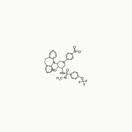 CN=S(=O)(NC1CN(c2ccc([N+](=O)[O-])cc2)CC(N2c3ccccc3CCc3ccccc32)C1O)c1ccc(OC(F)(F)F)cc1